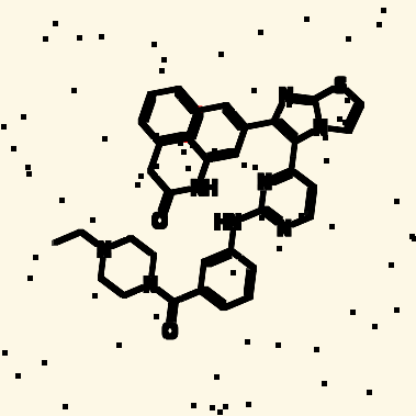 CCN1CCN(C(=O)c2cccc(Nc3nccc(-c4c(-c5cccc(NC(=O)Cc6ccccc6)c5)nc5sccn45)n3)c2)CC1